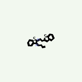 C=CC/C=c1\c(=C/Cc2cc3ccccc3s2)sc2ccccc12